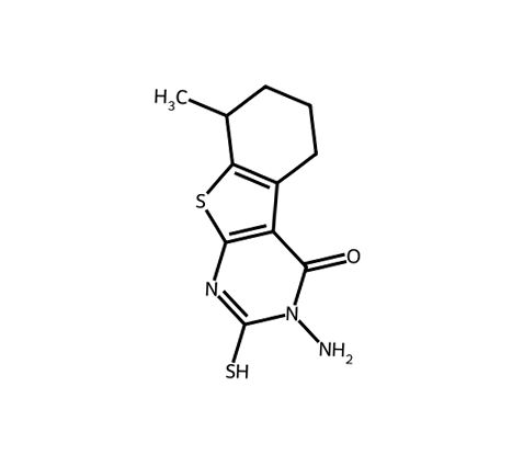 CC1CCCc2c1sc1nc(S)n(N)c(=O)c21